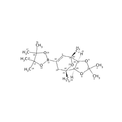 CC1(C)O[C@@H]2[C@H](O1)[C@@]1(C)C=C(B3OC(C)(C)C(C)(C)O3)C[C@]2(C)O1